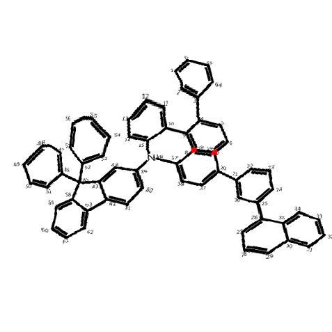 c1ccc(-c2ccccc2-c2ccccc2N(c2ccc(-c3cccc(-c4cccc5ccccc45)c3)cc2)c2ccc3c(c2)C(c2ccccc2)(c2ccccc2)c2ccccc2-3)cc1